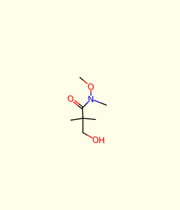 CON(C)C(=O)C(C)(C)CO